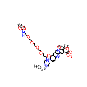 CCC1(CC)OC(=O)[C@@H](O)c2cc3n(c(=O)c21)Cc1cc2cc([N+]4(C(=O)CCOCCOCCOCCOCCNC(=O)OC(C)(C)C)CCN(C(=O)O)CC4)ccc2nc1-3